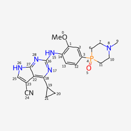 COc1cc(P2(=O)CCN(C)CC2)ccc1Nc1nc(C2CC2)c2c(C#N)c[nH]c2n1